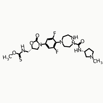 COC(=S)NC[C@H]1CN(c2cc(F)c(N3CCNN(C(=O)N[C@@H]4CCN(C)C4)CC3)c(F)c2)C(=O)O1